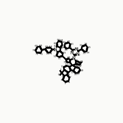 CC1(C)c2ccccc2-c2c1ccc1c2-c2ccccc2C12c1ccccc1N(c1nc(-c3ccccc3)nc(-c3ccccc3)n1)c1cc(-c3ccc4c(c3)c3ccccc3n4-c3ccc(-c4ccccc4)cc3)ccc12